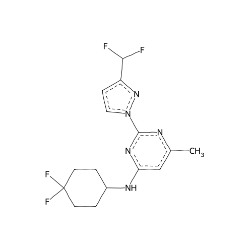 Cc1cc(NC2CCC(F)(F)CC2)nc(-n2ccc(C(F)F)n2)n1